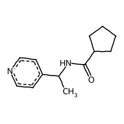 CC(NC(=O)C1CCCC1)c1ccncc1